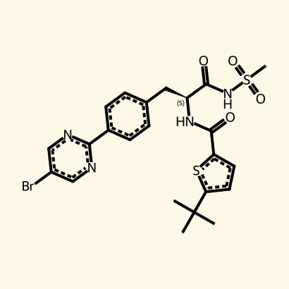 CC(C)(C)c1ccc(C(=O)N[C@@H](Cc2ccc(-c3ncc(Br)cn3)cc2)C(=O)NS(C)(=O)=O)s1